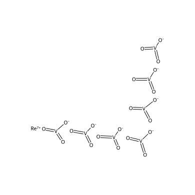 [O]=[V](=[O])[O-].[O]=[V](=[O])[O-].[O]=[V](=[O])[O-].[O]=[V](=[O])[O-].[O]=[V](=[O])[O-].[O]=[V](=[O])[O-].[O]=[V](=[O])[O-].[Re+7]